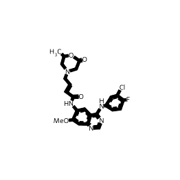 COc1cc2ncnc(Nc3ccc(F)c(Cl)c3)c2cc1NC(=O)C=CCN1CC(=O)OC(C)C1